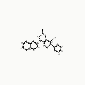 CN1Cc2c(ccc(-c3cnccn3)c2F)C(c2ccc3ccccc3c2)C1